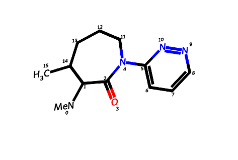 CNC1C(=O)N(c2cccnn2)CCCC1C